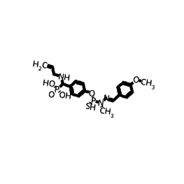 C=CCNC(c1ccc(O[PH](=S)N(C)/N=C/c2ccc(OC)cc2)cc1)P(=O)(O)O